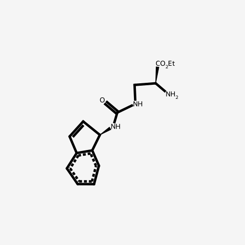 CCOC(=O)[C@@H](N)CNC(=O)N[C@@H]1C=Cc2ccccc21